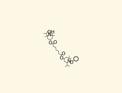 CC(C)C1CC(OC(=O)CCCCCC(=O)OC2CC(C)(C)N(O)C(C)(C(C)C)C2)CC(C)(C)N1Oc1ccccc1